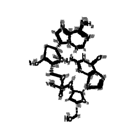 Nc1nc2c(ncn2[C@@H]2O[C@H](CO)C[C@H]2OP(=O)(S)OC[C@H]2O[C@@H](c3cnc4c(N)ncnn34)C[C@@H]2O)c(=O)[nH]1